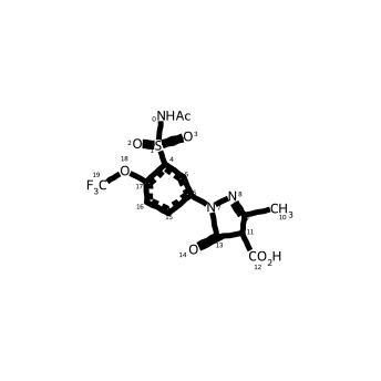 CC(=O)NS(=O)(=O)c1cc(N2N=C(C)C(C(=O)O)C2=O)ccc1OC(F)(F)F